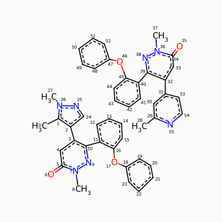 Cc1c(-c2cc(=O)n(C)nc2-c2ccccc2Oc2ccccc2)cnn1C.Cc1cc(-c2cc(=O)n(C)nc2-c2ccccc2Oc2ccccc2)ccn1